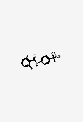 CC(O)(c1ccc(NC(=O)c2c(F)cccc2F)cc1)C(F)(F)F